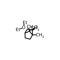 CC12CCC(CC1=O)C2(C)C.CCOCC